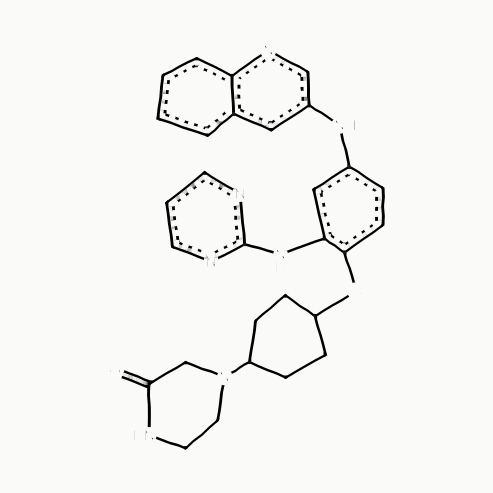 O=C1CN(C2CCC(Oc3ccc(Nc4cnc5ccccc5c4)cc3Nc3ncccn3)CC2)CCN1